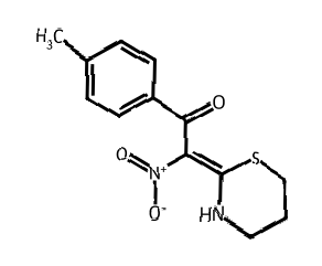 Cc1ccc(C(=O)C(=C2NCCCS2)[N+](=O)[O-])cc1